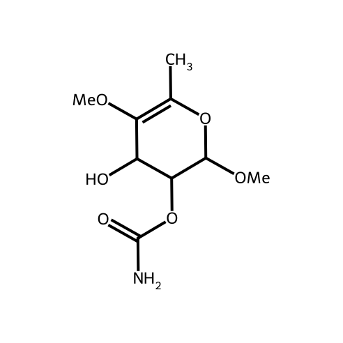 COC1=C(C)OC(OC)C(OC(N)=O)C1O